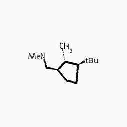 CNC[C@@H]1CC[C@H](C(C)(C)C)[C@H]1C